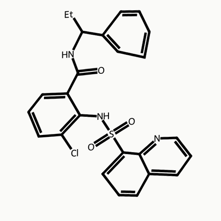 CCC(NC(=O)c1cccc(Cl)c1NS(=O)(=O)c1cccc2cccnc12)c1ccccc1